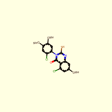 COc1cc(Cl)c2c(=O)n(-c3cc(OC)c(OC)cc3Cl)c(S)nc2c1